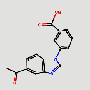 CC(=O)c1ccc2c(c1)ncn2-c1cccc(C(=O)O)c1